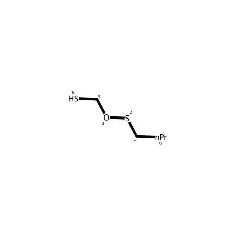 CCCCSOCS